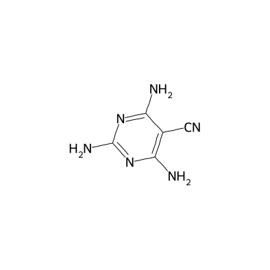 N#Cc1c(N)nc(N)nc1N